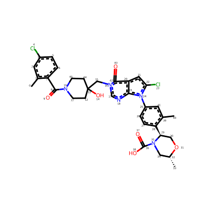 Cc1cc(Cl)ccc1C(=O)N1CCC(O)(Cn2cnc3c(cc(Cl)n3-c3ccc([C@H]4CO[C@H](C)CN4C(=O)O)c(C)c3)c2=O)CC1